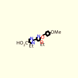 CCOc1cc(-c2ncc(C(=O)O)c(CC)n2)cnc1OCc1ccc(OC)cc1